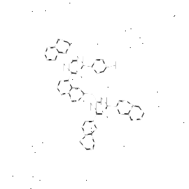 Ic1ccc(-c2nc(-c3cccc4ccccc34)nc(-c3cccc4ccc(Cc5nc(-c6ccc7ccccc7c6)nc(-c6ccc7ccccc7c6)n5)cc34)n2)cc1